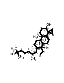 C[C@H](CCCC(C)(C)O)[C@H]1CC[C@H]2[C@@H]3CC=C4C5(CC5)[C@H](O)CC[C@]4(C)[C@H]3CC[C@]12C